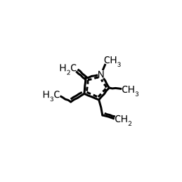 C=Cc1c(C)n(C)c(=C)/c1=C\C